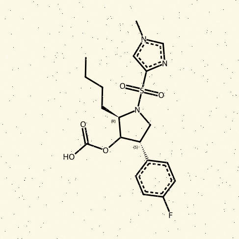 CCCC[C@@H]1C(OC(=O)O)[C@@H](c2ccc(F)cc2)CN1S(=O)(=O)c1cn(C)cn1